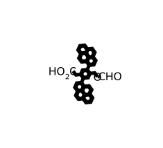 O=COCc1cc(-c2ccc3ccc4cccc5ccc2c3c45)c(CC(=O)O)cc1-c1ccc2ccc3cccc4ccc1c2c34